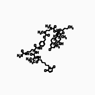 CCCC1O[C@@H]2CC3[C@@H]4CCC5=CC(=O)C=C[C@]5(C)C4[C@@H](O)C[C@]3(C)[C@]2(C(=O)COC(=O)N(C)CCN(C)C(=O)OCc2ccc(NC(=O)[C@H](CCCNC(N)=O)NC(=O)[C@@H](NC(=O)CCCCCN3C(=O)C=CC3=O)C(C)C)cc2)O1